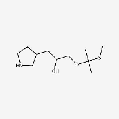 CSC(C)(C)OCC(O)CC1CCNC1